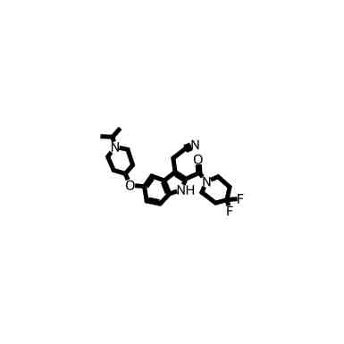 CC(C)N1CCC(Oc2ccc3[nH]c(C(=O)N4CCC(F)(F)CC4)c(CC#N)c3c2)CC1